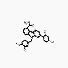 COc1ccc(Cn2c3cc(-c4ccc(Cl)cc4Cl)c[c]c3c3c(C(N)=O)cccc32)cc1Cl